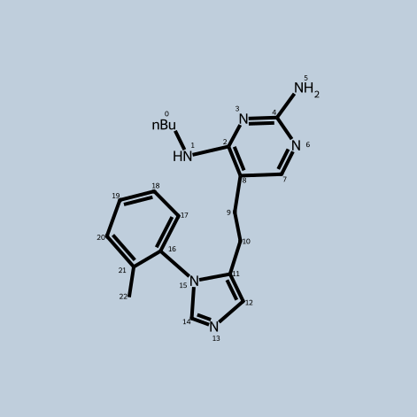 CCCCNc1nc(N)ncc1CCc1cncn1-c1ccccc1C